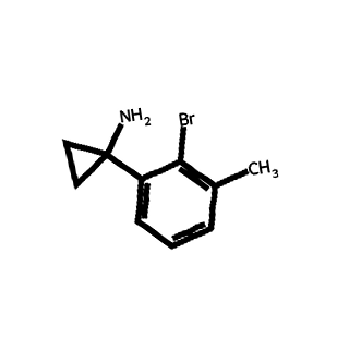 Cc1cccc(C2(N)CC2)c1Br